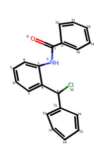 O=C(Nc1ccccc1C(Cl)c1ccccc1)c1ccccc1